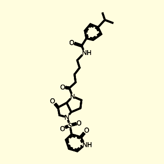 CC(C)c1ccc(C(=O)NCCCCC(=O)N2CCC3C2C(=O)CN3S(=O)(=O)c2ccc[nH]c2=O)cc1